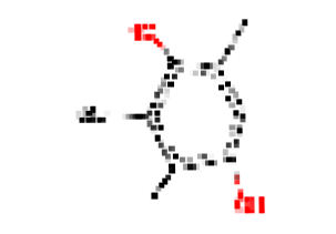 Cc1cc(O)c(C)c(C(C)(C)C)c1O